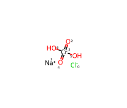 [Cl-].[Na+].[O]=[Cr](=[O])([OH])[OH]